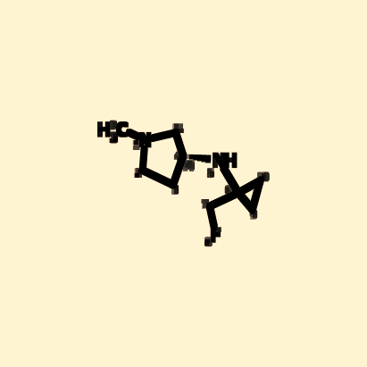 CN1CC[C@@H](NC2(CF)CC2)C1